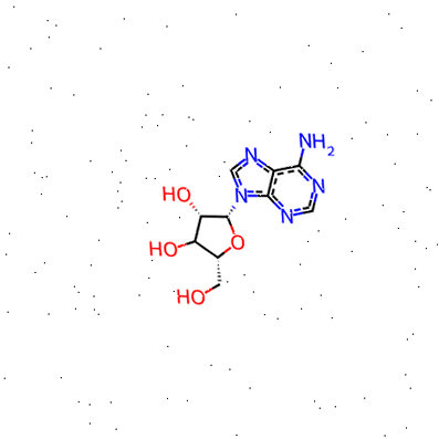 Nc1ncnc2c1ncn2[C@@H]1O[C@H](CO)C(O)[C@@H]1O